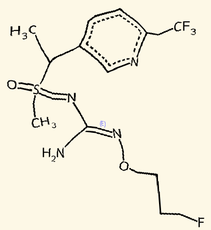 CC(c1ccc(C(F)(F)F)nc1)S(C)(=O)=N/C(N)=N/OCCF